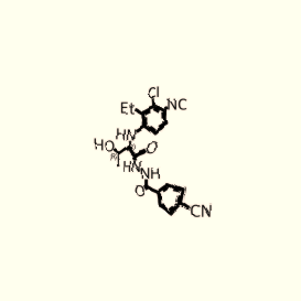 [C-]#[N+]c1ccc(N[C@@H](C(=O)NNC(=O)c2ccc(C#N)cc2)[C@@H](C)O)c(CC)c1Cl